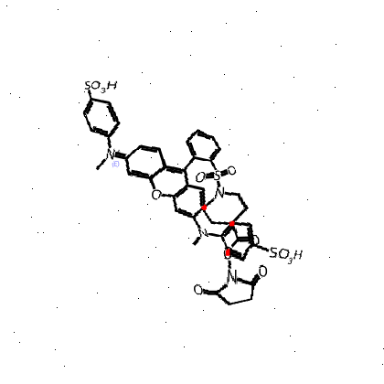 CN(c1ccc(S(=O)(=O)O)cc1)c1ccc2c(-c3ccccc3S(=O)(=O)N3CCC(C(=O)ON4C(=O)CCC4=O)CC3)c3cc/c(=[N+](/C)c4ccc(S(=O)(=O)O)cc4)cc-3oc2c1